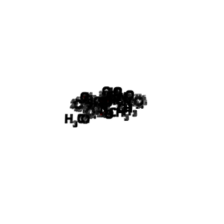 COc1ccc(C(OC[C@@]23CO[C@@H]([C@H](n4cc(C)c(NC(=O)c5ccccc5)nc4=O)O2)[C@@H]3OP(SCCSC(=O)c2ccccc2)N2CCCC2)(c2ccccc2)c2ccc(OC)cc2)cc1